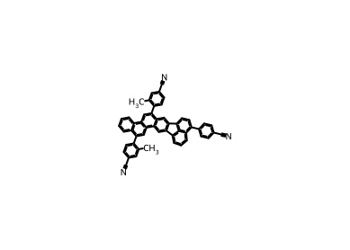 Cc1cc(C#N)ccc1-c1cc2c3cc4c(cc3c(-c3ccc(C#N)cc3C)cc2c2ccccc12)-c1ccc(-c2ccc(C#N)cc2)c2cccc-4c12